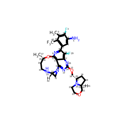 Cc1c(F)c(N)cc(-c2nc3c4c(nc(OC[C@@H]5CC[C@H]6COCCN65)nc4c2F)N2C[C@@H]2NCC[C@H](C)O3)c1C(F)(F)F